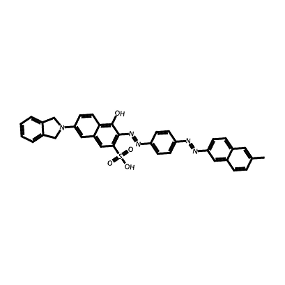 Cc1ccc2cc(N=Nc3ccc(N=Nc4c(S(=O)(=O)O)cc5cc(N6Cc7ccccc7C6)ccc5c4O)cc3)ccc2c1